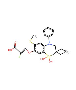 CCC1(CC)CN(c2ccccc2)c2cc(SC)c(OC=C(F)C(=O)O)cc2S(O)(O)C1